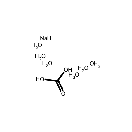 O.O.O.O.O.O.O=C(O)O.[NaH]